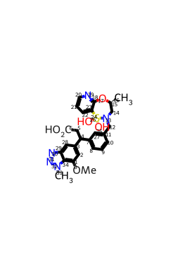 COc1cc(C(CC(=O)O)c2cccc(CN3C[C@@H](C)Oc4ncccc4S3(O)O)c2)cc2nnn(C)c12